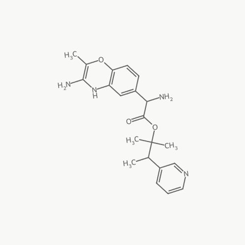 CC1=C(N)Nc2cc(C(N)C(=O)OC(C)(C)C(C)c3cccnc3)ccc2O1